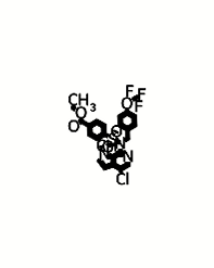 CCOC(=O)c1ccc(S(=O)(=O)N(Cc2ccc(OC(F)(F)F)cc2)c2ncc(Cl)c3ccn(C)c23)cc1